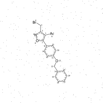 CC(=O)c1c(CBr)noc1-c1ccc(OCc2ccccc2)cc1